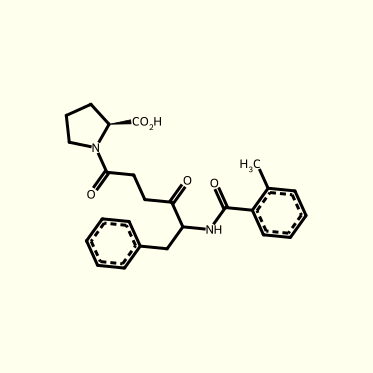 Cc1ccccc1C(=O)NC(Cc1ccccc1)C(=O)CCC(=O)N1CCC[C@H]1C(=O)O